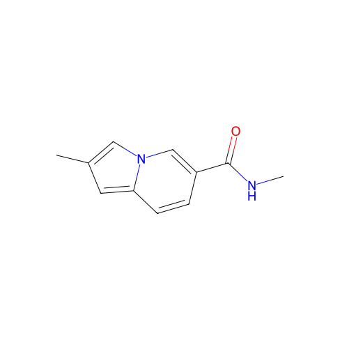 CNC(=O)c1ccc2cc(C)cn2c1